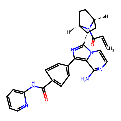 C=CC(=O)N1[C@H]2CC[C@@H]1[C@@H](c1nc(-c3ccc(C(=O)Nc4ccccn4)cc3)c3c(N)nccn13)C2